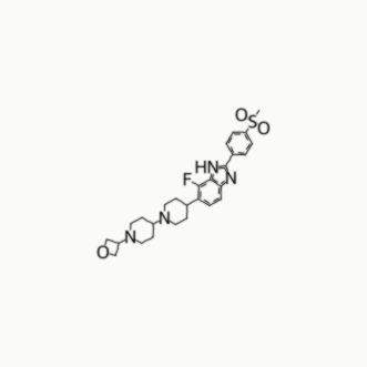 CS(=O)(=O)c1ccc(-c2nc3ccc(C4CCN(C5CCN(C6COC6)CC5)CC4)c(F)c3[nH]2)cc1